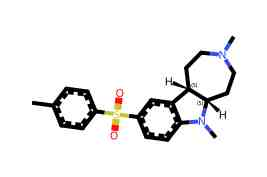 Cc1ccc(S(=O)(=O)c2ccc3c(c2)[C@@H]2CCN(C)CC[C@@H]2N3C)cc1